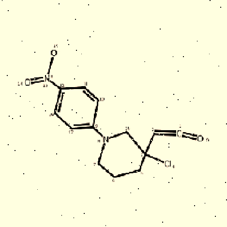 O=C=CC1(Cl)CCCN(c2ccc([N+](=O)[O-])cc2)C1